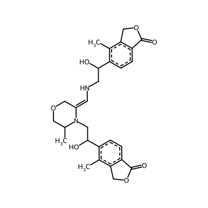 Cc1c(C(O)CN/C=C2\COCC(C)N2CC(O)c2ccc3c(c2C)COC3=O)ccc2c1COC2=O